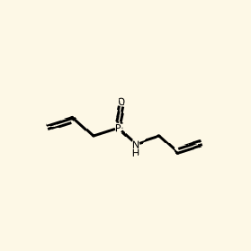 C=CCN[P](=O)CC=C